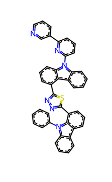 c1ccc(-n2c3ccccc3c3cccc(-c4nnc(-c5cccc6c5c5ccccc5n6-c5cccc(-c6cccnc6)n5)s4)c32)cc1